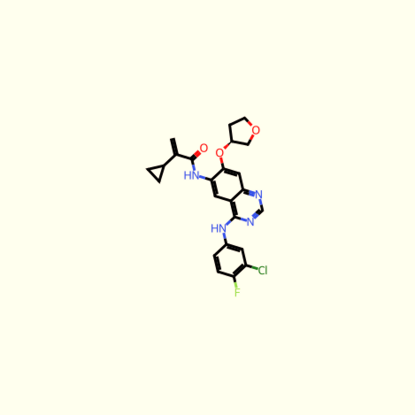 C=C(C(=O)Nc1cc2c(Nc3ccc(F)c(Cl)c3)ncnc2cc1O[C@H]1CCOC1)C1CC1